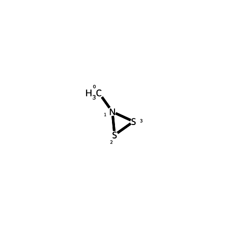 Cn1ss1